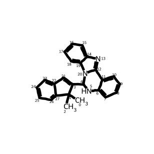 CC1(C)C(C2Nc3ccccc3-c3nc4ccccc4n32)=Cc2ccccc21